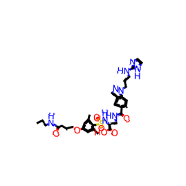 CCCNC(=O)CCCOc1cc(C)c(S(=O)(=O)NC(CNC(=O)c2ccc3c(cnn3CCCNc3ncc[nH]3)c2)C(=O)O)c(C)c1